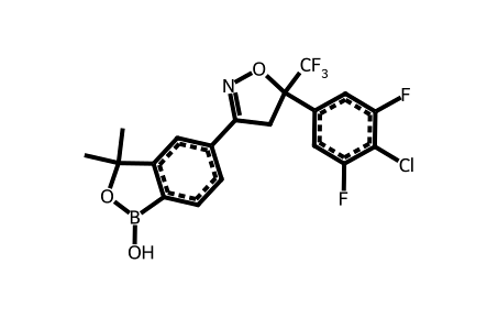 CC1(C)OB(O)c2ccc(C3=NOC(c4cc(F)c(Cl)c(F)c4)(C(F)(F)F)C3)cc21